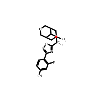 BN1CC2COCC(C1)C2O[C@H](C)c1nc(-c2ccc(C#N)cc2F)no1